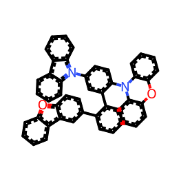 c1ccc2c(c1)Oc1ccccc1N2c1ccc(-n2c3ccccc3c3ccccc32)cc1-c1ccccc1-c1ccc2oc3ccccc3c2c1